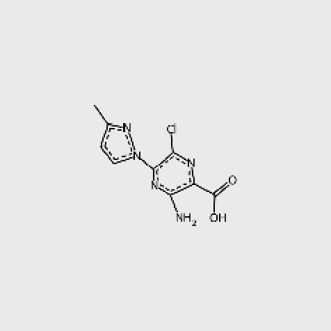 Cc1ccn(-c2nc(N)c(C(=O)O)nc2Cl)n1